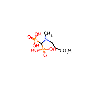 CN(CCC(=O)O)C(P(=O)(O)O)P(=O)(O)O